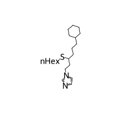 CCCCCCSC(CCCC1CCCCC1)CCn1ccnc1